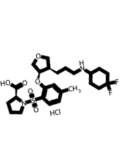 Cc1ccc(S(=O)(=O)N2CCC[C@H]2C(=O)O)c(O[C@H]2COC[C@H]2CCCNC2CCC(F)(F)CC2)c1.Cl